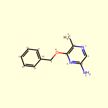 Cc1ncc(N)nc1OCc1ccccc1